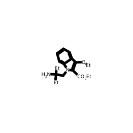 CCOC(=O)c1c(OCC)c2ccccc2n1CC(N)(CC)CC